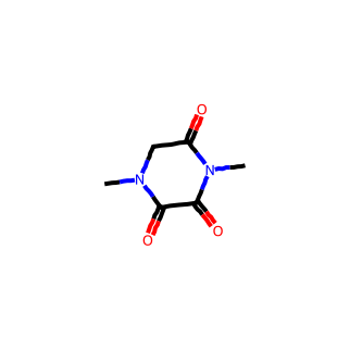 CN1CC(=O)N(C)C(=O)C1=O